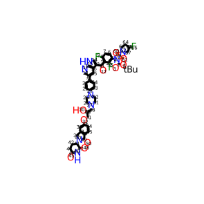 CC(C)(C)OC(=O)N(c1ccc(F)c(C(=O)c2c[nH]c3ncc(-c4ccc(N5CCN(C[C@@H](O)COc6ccc7c(c6)CN(C6CCC(=O)NC6=O)C7=O)CC5)cc4)cc23)c1F)S(=O)(=O)N1CC[C@@H](F)C1